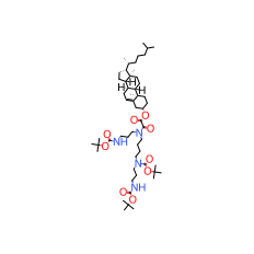 CC(C)CCC[C@@H](C)[C@H]1CC[C@H]2[C@@H]3CC=C4C[C@@H](OC(=O)C(=O)N(CCCCN(CCCNC(=O)OC(C)(C)C)C(=O)OC(C)(C)C)CCCNC(=O)OC(C)(C)C)CC[C@]4(C)[C@H]3CC[C@]12C